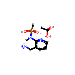 CC(=O)O.CN(c1ncccc1CN)S(C)(=O)=O